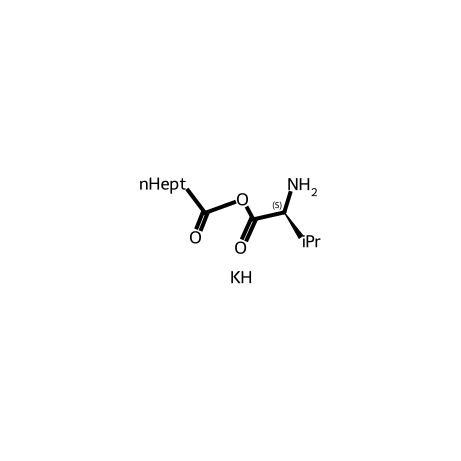 CCCCCCCC(=O)OC(=O)[C@@H](N)C(C)C.[KH]